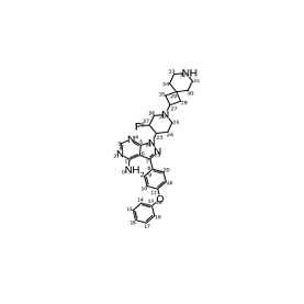 Nc1ncnc2c1c(-c1ccc(Oc3ccccc3)cc1)nn2C1CCN(C2CC3(CCNCC3)C2)CC1F